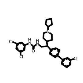 O=C(NCC(c1ccc(-c2cccc(Cl)c2)cc1)C1CCN(C2CCCC2)CC1)Nc1cc(Cl)cc(Cl)c1